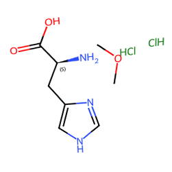 COC.Cl.Cl.N[C@@H](Cc1c[nH]cn1)C(=O)O